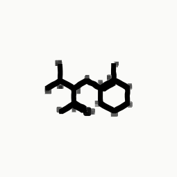 CC(=O)C(CC1=C(C)CCCC1)C(C)C